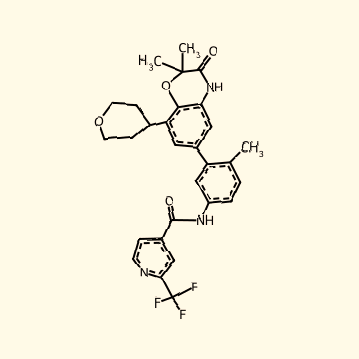 Cc1ccc(NC(=O)c2ccnc(C(F)(F)F)c2)cc1-c1cc2c(c(C3CCOCC3)c1)OC(C)(C)C(=O)N2